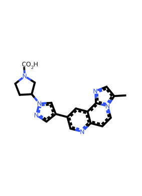 Cc1cnc2c3cc(-c4cnn(C5CCN(C(=O)O)C5)c4)cnc3ccn12